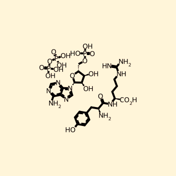 N=C(N)NCCC[C@H](NC(=O)[C@@H](N)Cc1ccc(O)cc1)C(=O)O.Nc1ncnc2c1ncn2[C@@H]1O[C@H](COP(=O)(O)O)[C@@H](O)[C@H]1O.O=P(O)(O)OP(=O)(O)O